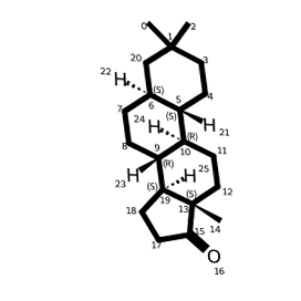 CC1(C)CC[C@H]2[C@@H](CC[C@@H]3[C@@H]2CC[C@]2(C)C(=O)CC[C@@H]32)C1